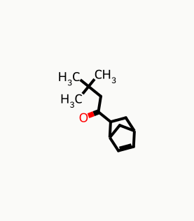 CC(C)(C)CC(=O)C1CC2C=CC1C2